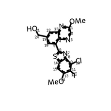 COc1cnc2c(-c3nc4c(Cl)c(F)c(OC)cc4s3)cc(CO)cc2n1